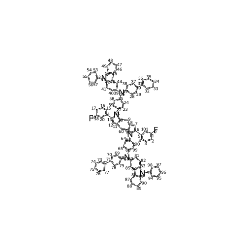 Fc1cccc(-c2cc3cc4c(cc(-c5cccc(F)c5)n4-c4ccc(N(c5ccc(-c6ccccc6)cc5)c5ccc6c(c5)c5ccccc5n6-c5ccccc5)cc4)cc3n2-c2ccc(N(c3ccc(-c4ccccc4)cc3)c3ccc4c(c3)c3ccccc3n4-c3ccccc3)cc2)c1